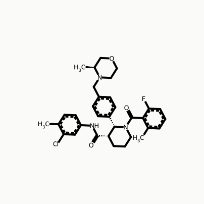 Cc1ccc(NC(=O)[C@H]2CCCN(C(=O)c3c(C)cccc3F)[C@H]2c2ccc(CN3CCOC[C@@H]3C)cc2)cc1Cl